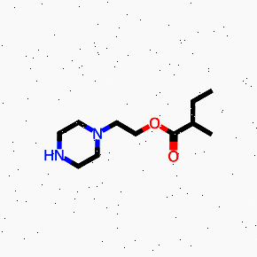 CCC(C)C(=O)OCCN1CCNCC1